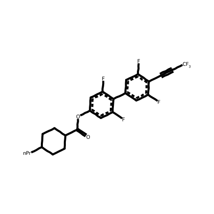 CCCC1CCC(C(=O)Oc2cc(F)c(-c3cc(F)c(C#CC(F)(F)F)c(F)c3)c(F)c2)CC1